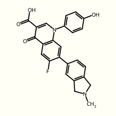 CN1Cc2ccc(-c3cc4c(cc3F)c(=O)c(C(=O)O)cn4-c3ccc(O)cc3)cc2C1